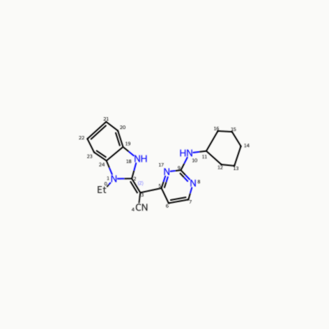 CCN1/C(=C(\C#N)c2ccnc(NC3CCCCC3)n2)Nc2ccccc21